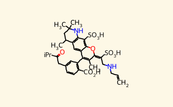 C=CCNC/C(=C1/Oc2c(cc3c(c2S(=O)(=O)O)NC(C)(C)CC3C)C(c2cc(CC(=O)C(C)C)ccc2C(=O)O)=C1C)S(=O)(=O)O